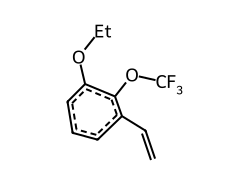 C=Cc1cccc(OCC)c1OC(F)(F)F